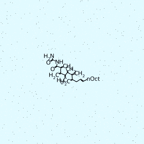 C=C(CC=CCCCCCCCC)C(=C)C(=C)C(=C)C(=C)C(=C)C(=O)NC(N)=O